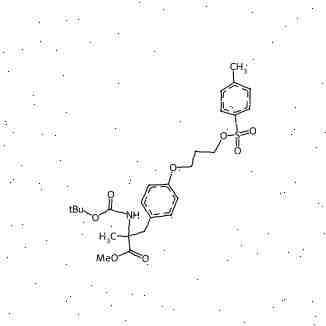 COC(=O)C(C)(Cc1ccc(OCCCOS(=O)(=O)c2ccc(C)cc2)cc1)NC(=O)OC(C)(C)C